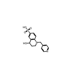 O=S(=O)(O)c1ccc2c(c1)C(O)CCN2Cc1ccncc1